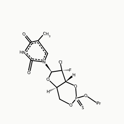 Cc1cn([C@@H]2O[C@@H]3COP(=S)(OC(C)C)O[C@H]3[C@]2(F)Cl)c(=O)[nH]c1=O